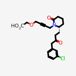 O=C(O)COCC#CCN1C(=O)CCC[C@@H]1CCC(=O)Cc1cccc(Cl)c1